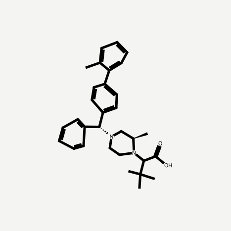 Cc1ccccc1-c1ccc([C@@H](c2ccccc2)N2CCN(C(C(=O)O)C(C)(C)C)[C@H](C)C2)cc1